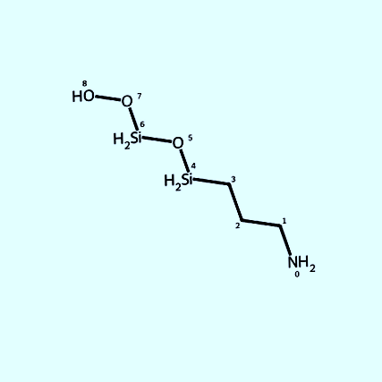 NCCC[SiH2]O[SiH2]OO